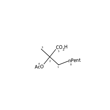 CCCCCCC(C)(OC(C)=O)C(=O)O